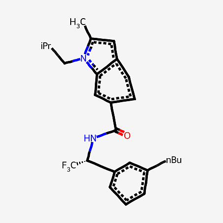 CCCCc1cccc([C@@H](NC(=O)c2ccc3cc(C)n(CC(C)C)c3c2)C(F)(F)F)c1